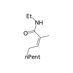 CCCCCCC=C(C)C(=O)NCC